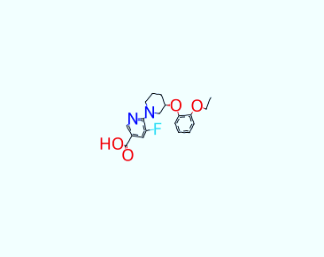 CCOc1ccccc1O[C@@H]1CCCN(c2ncc(C(=O)O)cc2F)C1